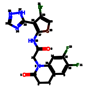 O=C(CN1C(=O)CCc2cc(F)c(F)cc21)Nc1scc(Br)c1-c1ncn[nH]1